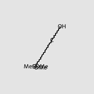 CO[Si](CCCCCCCCCCCCCCCCCCCCCCCCCCCCCCCCO)(OC)OC